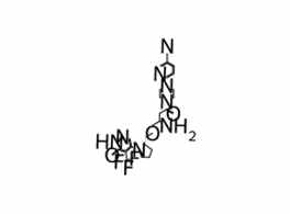 N#Cc1ccc(N2CCN(C(=O)C[C@H](N)COC[C@@H]3CCCN3c3cn[nH]c(=O)c3C(F)(F)F)CC2)nc1